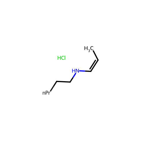 C/C=C\NCCCCC.Cl